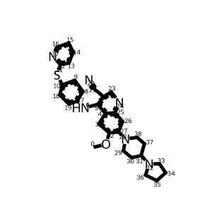 COc1cc2c(Nc3ccc(Sc4ccccn4)cc3)c(C#N)cnc2cc1N1CCC(N2CCCC2)CC1